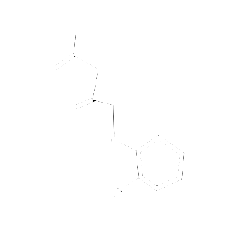 CC(=O)CC(=O)COc1ccccc1N